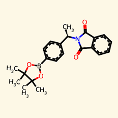 C[C@H](c1ccc(B2OC(C)(C)C(C)(C)O2)cc1)N1C(=O)c2ccccc2C1=O